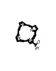 CC(C)C(=O)C1=CC2=NC1=CC1=NC(=CC3=NC(=CC4=NC(=C2)C=C4)C=C3)C=C1